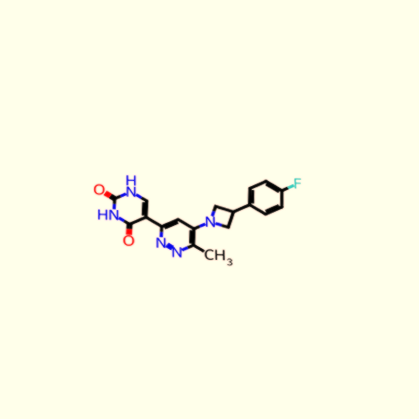 Cc1nnc(-c2c[nH]c(=O)[nH]c2=O)cc1N1CC(c2ccc(F)cc2)C1